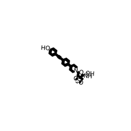 CC(CCN1CC=C(c2ccc(C#Cc3ccc(O)cc3)cc2)CC1)(C(=O)NO)S(C)(=O)=O